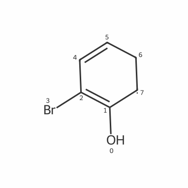 OC1=C(Br)C=CC[CH]1